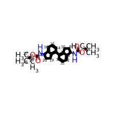 CC(C)(C)OC(=O)N[C@@H]1CCc2c(-c3cccc4c3CC[C@H]4NC(=O)OC(C)(C)C)cccc21